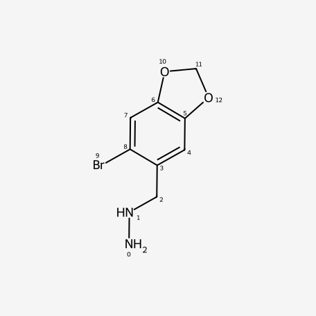 NNCc1cc2c(cc1Br)OCO2